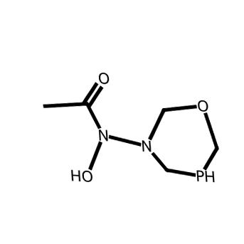 CC(=O)N(O)N1COCPC1